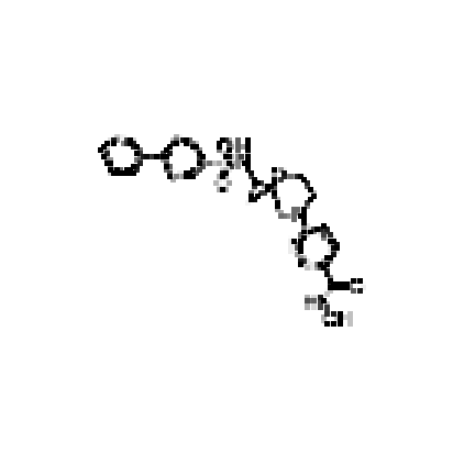 O=C(NO)c1cnc(N2CCOC3(CC3NS(=O)(=O)c3ccc(-c4ccccc4)cc3)C2)nc1